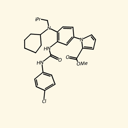 COC(=O)c1cccn1-c1ccc(N(CC(C)C)C2CCCCC2)c(NC(=O)Nc2ccc(Cl)cc2)c1